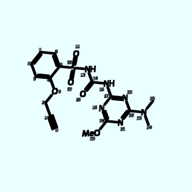 C#CCOc1ccccc1S(=O)(=O)NC(=O)Nc1nc(OC)nc(N(C)C)n1